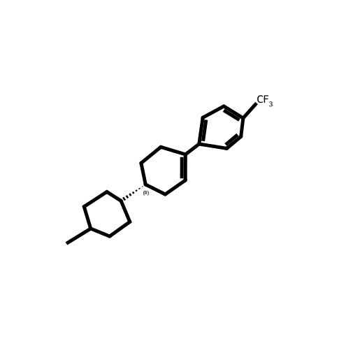 CC1CCC([C@H]2CC=C(c3ccc(C(F)(F)F)cc3)CC2)CC1